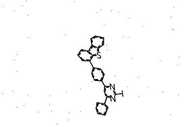 Ic1nc(-c2ccccc2)cc(-c2ccc(-c3cccc4c3sc3ccccc34)cc2)n1